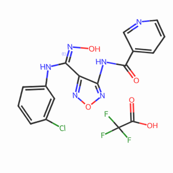 O=C(Nc1nonc1/C(=N\O)Nc1cccc(Cl)c1)c1cccnc1.O=C(O)C(F)(F)F